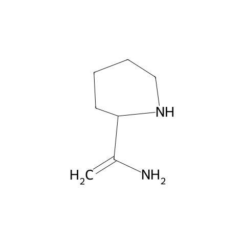 C=C(N)C1CCCCN1